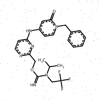 CC(C)N(CC(F)(F)F)C(=N)OCc1nccc(Nc2ccn(Cc3ccccc3)c(=O)c2)n1